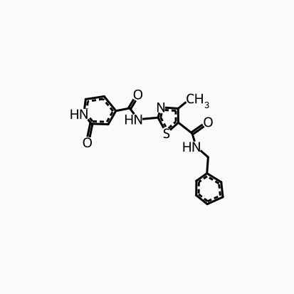 Cc1nc(NC(=O)c2cc[nH]c(=O)c2)sc1C(=O)NCc1ccccc1